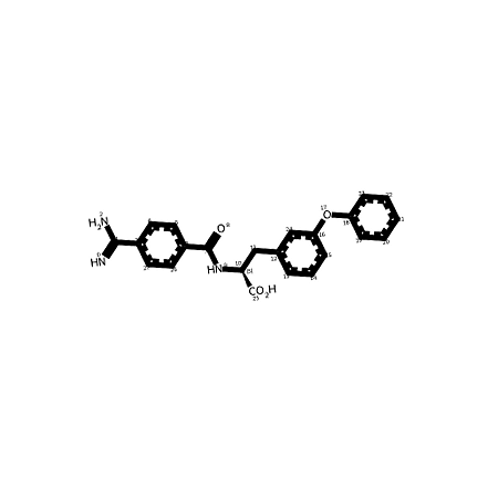 N=C(N)c1ccc(C(=O)N[C@@H](Cc2cccc(Oc3ccccc3)c2)C(=O)O)cc1